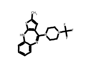 Cc1cc2c(s1)Nc1ccccc1N=C2N1CCN(C(F)(F)F)CC1